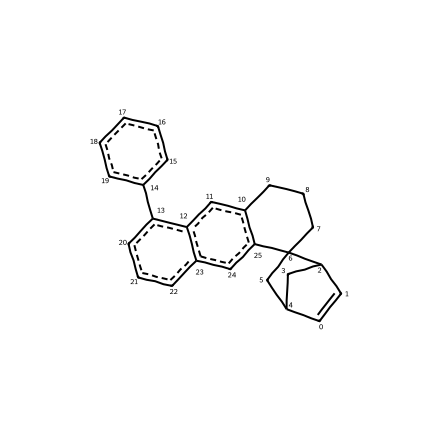 C1=CC2CC1CC21CCCc2cc3c(-c4ccccc4)cccc3cc21